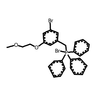 COCCOc1cc(Br)cc(CP(Br)(c2ccccc2)(c2ccccc2)c2ccccc2)c1